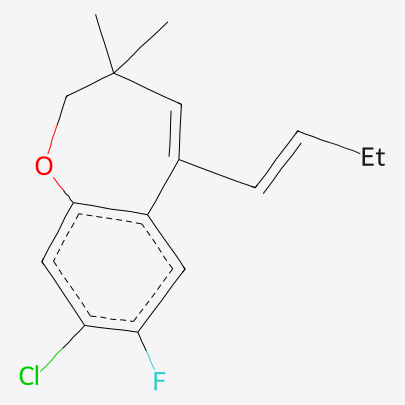 CC/C=C/C1=CC(C)(C)COc2cc(Cl)c(F)cc21